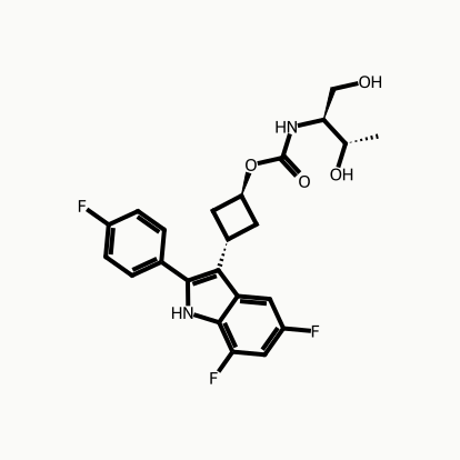 C[C@H](O)[C@H](CO)NC(=O)O[C@H]1C[C@H](c2c(-c3ccc(F)cc3)[nH]c3c(F)cc(F)cc32)C1